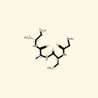 CC(=O)NCC(=O)N[C@@H](CC(=O)O)C(=O)N[C@@H](C)C(=O)N[C@@H](CC(=O)O)C(=O)O